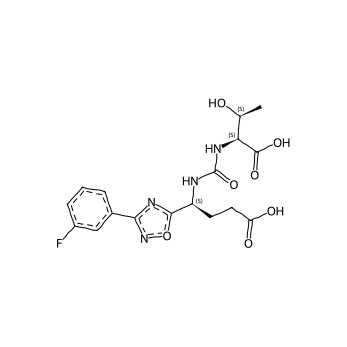 C[C@H](O)[C@H](NC(=O)N[C@@H](CCC(=O)O)c1nc(-c2cccc(F)c2)no1)C(=O)O